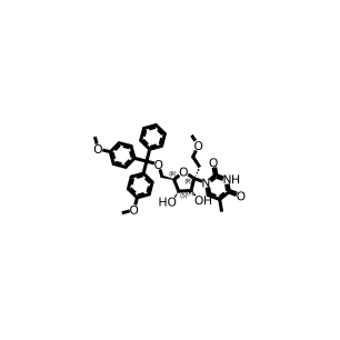 COCC[C@@]1(n2cc(C)c(=O)[nH]c2=O)O[C@H](COC(c2ccccc2)(c2ccc(OC)cc2)c2ccc(OC)cc2)[C@@H](O)[C@H]1O